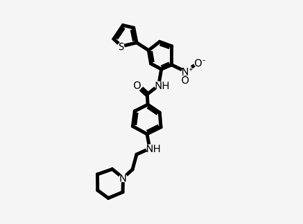 O=C(Nc1cc(-c2cccs2)ccc1[N+](=O)[O-])c1ccc(NCCN2CCCCC2)cc1